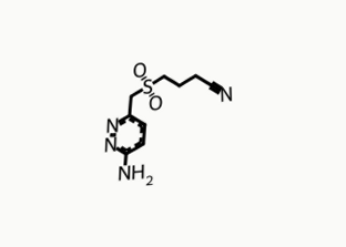 N#CCCCS(=O)(=O)Cc1ccc(N)nn1